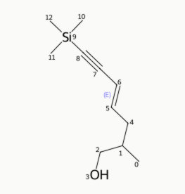 CC(CO)C/C=C/C#C[Si](C)(C)C